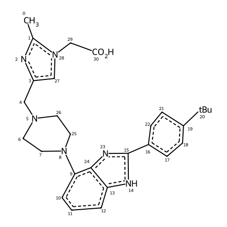 Cc1nc(CN2CCN(c3cccc4[nH]c(-c5ccc(C(C)(C)C)cc5)nc34)CC2)cn1CC(=O)O